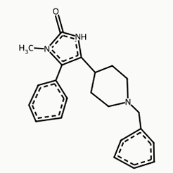 Cn1c(-c2ccccc2)c(C2CCN(Cc3ccccc3)CC2)[nH]c1=O